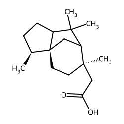 C[C@H]1CCC2C(C)(C)C3C[C@@]21CC[C@]3(C)CC(=O)O